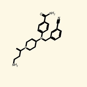 CC(CCN)N1CCC(N(Cc2cccc(C#N)c2)c2ccc(C(N)=O)cc2)CC1